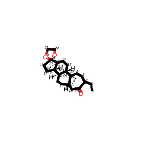 CCC1CC[C@@]2(C)[C@@H](CC[C@@H]3[C@@H]2CC[C@@]2(C)[C@H]3CCC23OCCO3)CC1=O